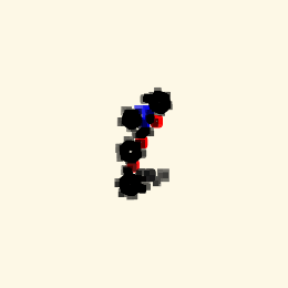 Cc1ccccc1NC(=O)N(CCO[C@H]1CCC[C@@H](OCc2cccc(C)c2C(=O)O)C1)C1CCCC1